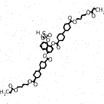 C=CC(=O)OCCCCOC(=O)C1CCC(C2CCC(C(=O)Oc3ccc(OC(=O)C4CCC(C5CCC(C(=O)OCCCCOC(=O)C=C)CC5)CC4)c4c(OS(C)(=O)=O)cccc34)CC2)CC1